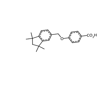 CC1(C)CC(C)(C)c2cc(COc3ccc(C(=O)O)cc3)ccc21